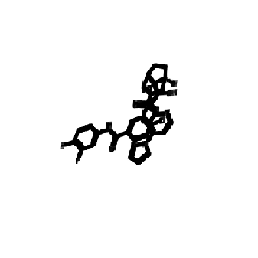 O=C(Nc1ccc(F)c(F)c1)c1ccc(Cl)c(S(=O)(=O)C2CC3CC[C@@H](C2)[C@@]3(O)C(O)C(O)c2cc(-n3cccn3)ccn2)c1